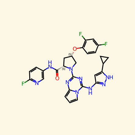 O=C(Nc1ccc(F)nc1)[C@@H]1C[C@H](Oc2ccc(F)cc2F)CN1c1nc(Nc2cc(C3CC3)[nH]n2)n2cccc2n1